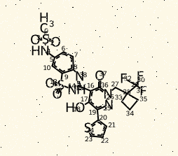 CS(=O)(=O)Nc1ccc2c(c1)S(=O)(=O)NC(c1c(O)c(-c3cccs3)nn(CC3(C(F)(F)F)CCC3)c1=O)=N2